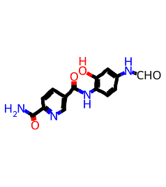 NC(=O)c1ccc(C(=O)Nc2ccc(NC=O)cc2O)cn1